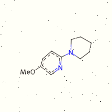 COc1ccc(N2CCCCC2)nc1